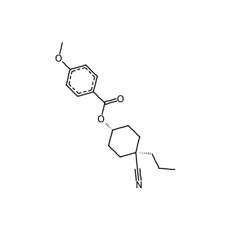 CCC[C@]1(C#N)CC[C@H](OC(=O)c2ccc(OC)cc2)CC1